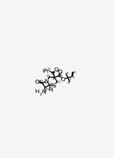 C=CC(C)(C)OC(=O)C1(C(=O)C(C)C)CS[C@@H]2C(N)C(=O)N2C1